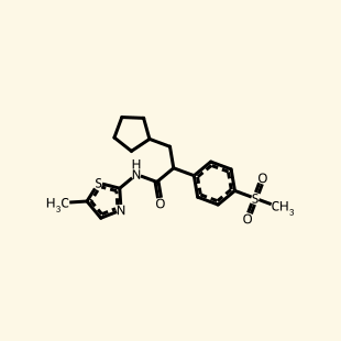 Cc1cnc(NC(=O)C(CC2CCCC2)c2ccc(S(C)(=O)=O)cc2)s1